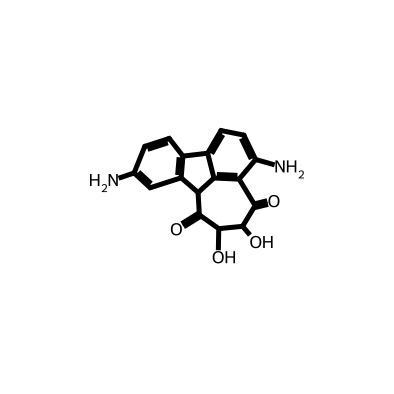 Nc1ccc2c(c1)C1C(=O)C(O)C(O)C(=O)c3c(N)ccc-2c31